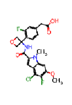 COc1cc2c(cc(C(=O)NC3(c4ccc(CC(=O)O)cc4F)COC3)n2C)c(Cl)c1F